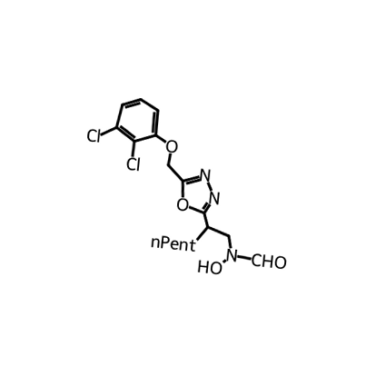 CCCCCC(CN(O)C=O)c1nnc(COc2cccc(Cl)c2Cl)o1